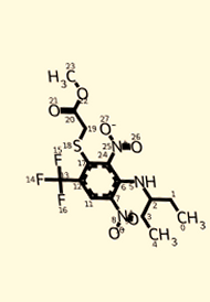 CCC(CC)Nc1c([N+](=O)[O-])cc(C(F)(F)F)c(SCC(=O)OC)c1[N+](=O)[O-]